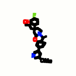 COc1cncc(-c2ccc([C@H](C)N3CCC(CCCO)(c4ccc(F)cc4)CC3=O)cc2)c1